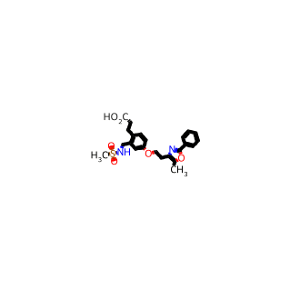 Cc1oc(-c2ccccc2)nc1CCOc1ccc(CCC(=O)O)c(CNS(C)(=O)=O)c1